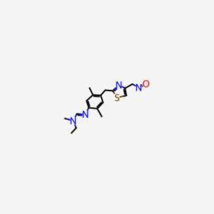 CCN(C)/C=N/c1cc(C)c(Cc2nc(CN=O)cs2)cc1C